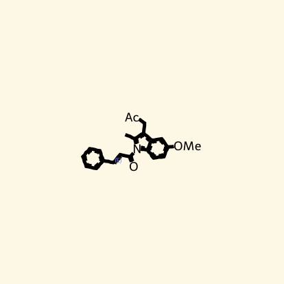 COc1ccc2c(c1)c(CC(C)=O)c(C)n2C(=O)/C=C/c1ccccc1